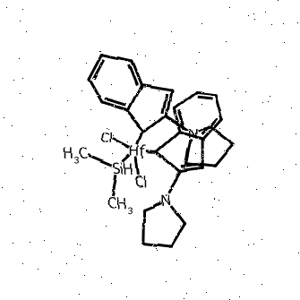 C[SiH](C)[Hf]([Cl])([Cl])([CH]1C(N2CCCC2)=Cc2ccccc21)[CH]1C(N2CCCC2)=Cc2ccccc21